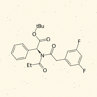 CCC(=O)N(C(=O)Cc1cc(F)cc(F)c1)[C@H](C(=O)OC(C)(C)C)c1ccccc1